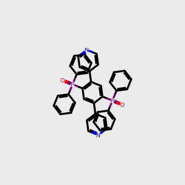 O=P(c1ccccc1)(c1ccccc1)c1cc(-c2ccncc2)c(P(=O)(c2ccccc2)c2ccccc2)cc1-c1ccncc1